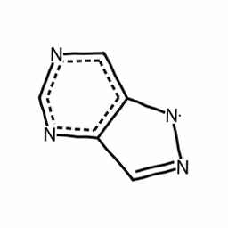 C1=N[N]c2cncnc21